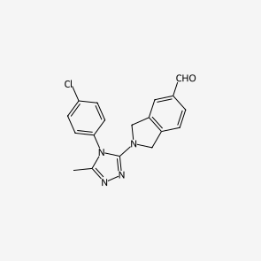 Cc1nnc(N2Cc3ccc(C=O)cc3C2)n1-c1ccc(Cl)cc1